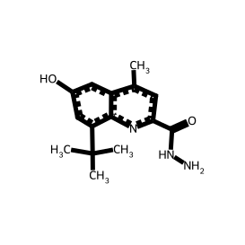 Cc1cc(C(=O)NN)nc2c(C(C)(C)C)cc(O)cc12